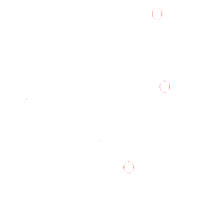 COc1c[c]cc(C=O)c1OC